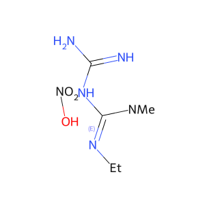 CC/N=C(\NC)NC(=N)N.O=[N+]([O-])O